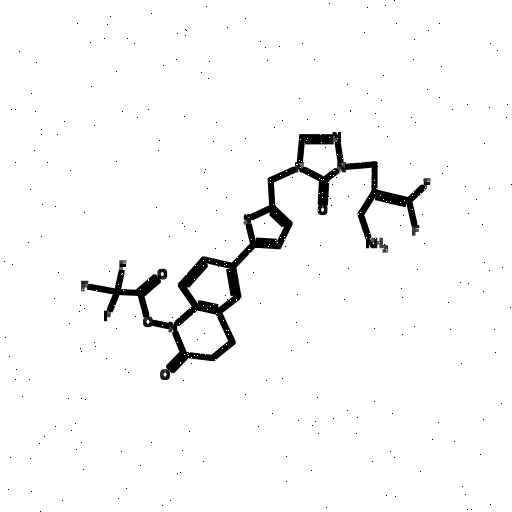 NCC(Cn1ncn(Cc2ccc(-c3ccc4c(c3)CCC(=O)N4OC(=O)C(F)(F)F)s2)c1=O)=C(F)F